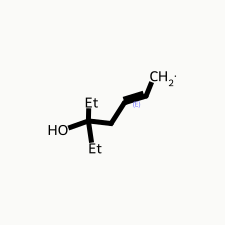 [CH2]/C=C/CC(O)(CC)CC